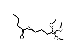 CCCC(=O)SCCC[Si](OC)(OC)OC